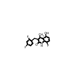 Cc1c(Cc2ccc(F)cc2F)c(=O)[nH]c2c(F)ccc(O)c12